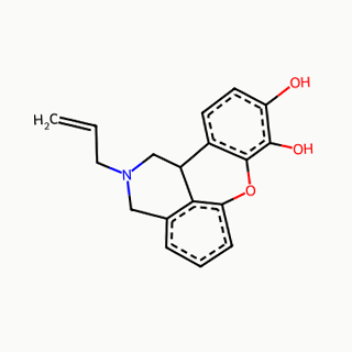 C=CCN1Cc2cccc3c2C(C1)c1ccc(O)c(O)c1O3